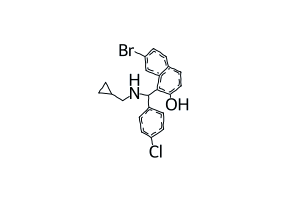 Oc1ccc2ccc(Br)cc2c1C(NCC1CC1)c1ccc(Cl)cc1